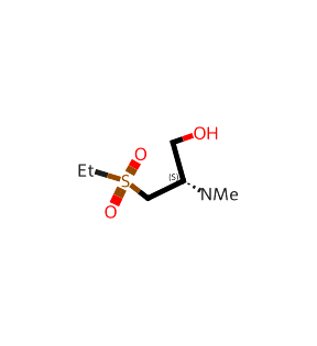 CCS(=O)(=O)C[C@H](CO)NC